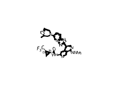 CNc1ncc(-c2nc3ccc(N4CCOC(C)C4)cn3n2)c2cc(NC(=O)[C@@H]3C[C@@H]3C(F)(F)F)ncc12